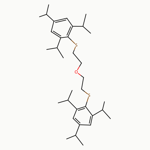 CC(C)c1cc(C(C)C)c(SCCOCCSc2c(C(C)C)cc(C(C)C)cc2C(C)C)c(C(C)C)c1